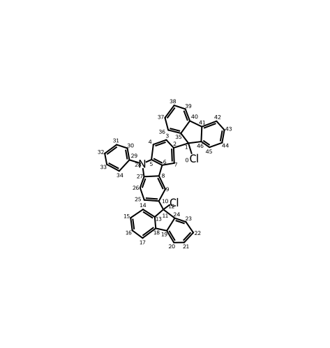 ClC1(c2ccc3c(c2)c2cc(C4(Cl)c5ccccc5-c5ccccc54)ccc2n3-c2ccccc2)c2ccccc2-c2ccccc21